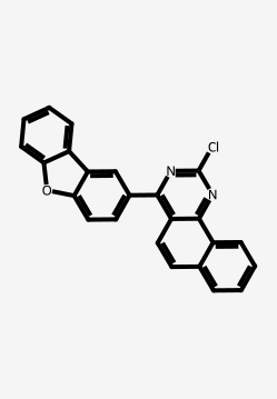 Clc1nc(-c2ccc3oc4ccccc4c3c2)c2ccc3ccccc3c2n1